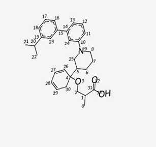 CC(COC1(C2CCCN(c3cccc(-c4cccc(C(C)C)c4)c3)C2)C=CC=CC1)C(=O)O